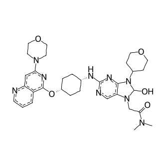 CN(C)C(=O)CN1c2cnc(N[C@H]3CC[C@@H](Oc4nc(N5CCOCC5)cc5ncccc45)CC3)nc2N(C2CCOCC2)C1O